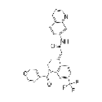 O=C(C=C1CCN(C(=O)C2=CCOC=C2)c2cc(C(F)(F)F)ccc21)Nc1ccc2cccnc2c1